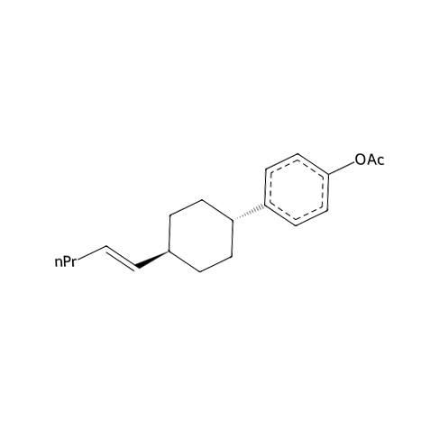 CCCC=C[C@H]1CC[C@H](c2ccc(OC(C)=O)cc2)CC1